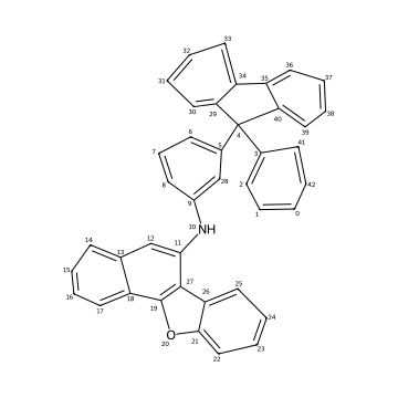 c1ccc(C2(c3cccc(Nc4cc5ccccc5c5oc6ccccc6c45)c3)c3ccccc3-c3ccccc32)cc1